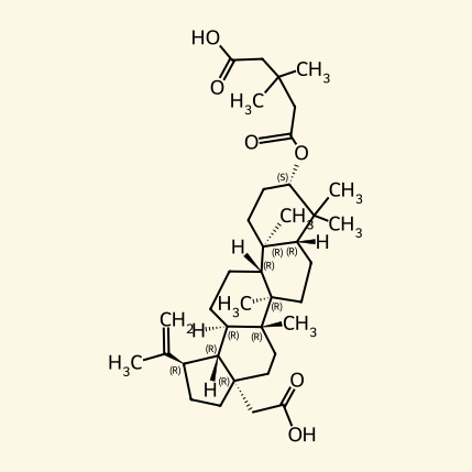 C=C(C)[C@@H]1CC[C@]2(CC(=O)O)CC[C@]3(C)[C@H](CC[C@@H]4[C@@]5(C)CC[C@H](OC(=O)CC(C)(C)CC(=O)O)C(C)(C)[C@@H]5CC[C@]43C)[C@@H]12